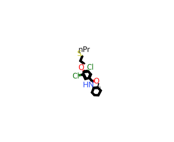 CCCSCCCOc1c(Cl)cc(C(=O)N[C@H]2CCCC[C@@H]2C)cc1Cl